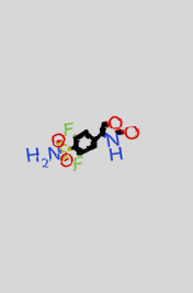 NS(=O)(=O)c1c(F)cc(-c2coc(=O)[nH]2)cc1F